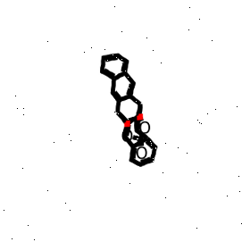 O=C1OC2C3c4cc5ccccc5cc4C(c4cc5ccccc5cc43)C2O1